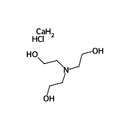 Cl.OCCN(CCO)CCO.[CaH2]